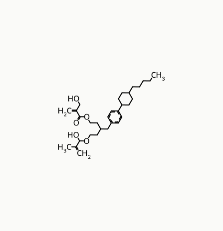 C=C(CO)C(=O)OCCC(CCOC(O)C(=C)C)Cc1ccc(C2CCC(CCCCC)CC2)cc1